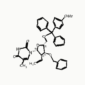 C=C[C@@H]1[C@H](OCc2ccccc2)[C@@H](COC(c2ccccc2)(c2ccccc2)c2ccc(OC)cc2)O[C@H]1n1cc(C)c(=O)[nH]c1=O